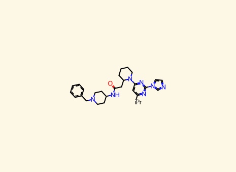 CC(C)c1cc(N2CCCCC2CC(=O)NC2CCN(Cc3ccccc3)CC2)nc(-n2ccnc2)n1